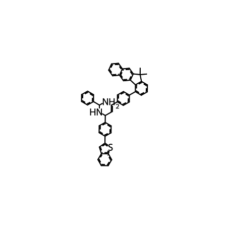 CC1(C)c2cc3ccccc3cc2-c2c(-c3ccc(/C=C/C(NC(N)c4ccccc4)c4ccc(-c5cc6ccccc6s5)cc4)cc3)cccc21